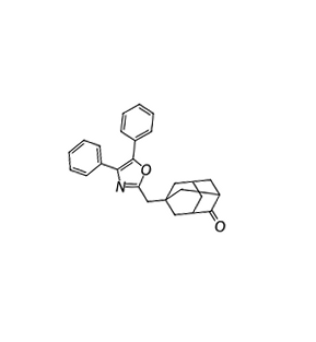 O=C1C2CC3CC1CC(Cc1nc(-c4ccccc4)c(-c4ccccc4)o1)(C3)C2